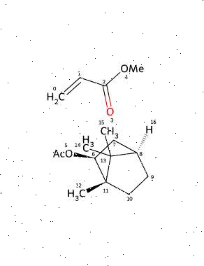 C=CC(=O)OC.CC(=O)O[C@H]1C[C@H]2CC[C@@]1(C)C2(C)C